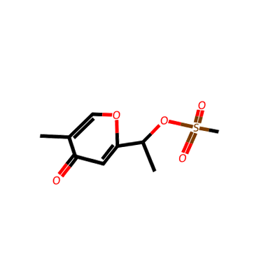 Cc1coc(C(C)OS(C)(=O)=O)cc1=O